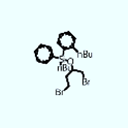 CCCCc1ccccc1[Si](CCCC)(OC(CBr)CCBr)c1ccccc1